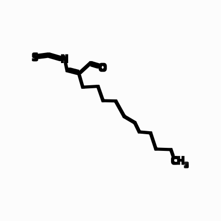 CCCCCCCCCCC/C(C=O)=C/N=C=S